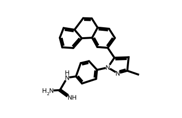 Cc1cc(-c2ccc3ccc4ccccc4c3c2)n(-c2ccc(NC(=N)N)cc2)n1